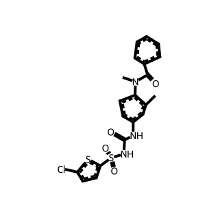 Cc1cc(NC(=O)NS(=O)(=O)c2ccc(Cl)s2)ccc1N(C)C(=O)c1ccccc1